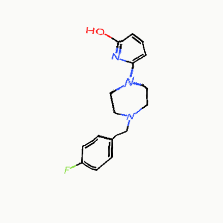 Oc1cccc(N2CCN(Cc3ccc(F)cc3)CC2)n1